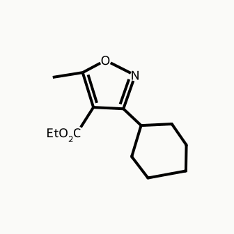 CCOC(=O)c1c(C2CCCCC2)noc1C